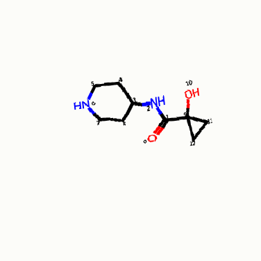 O=C(NC1CCNCC1)C1(O)CC1